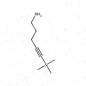 C[Si](C)(C)C#CCCCN